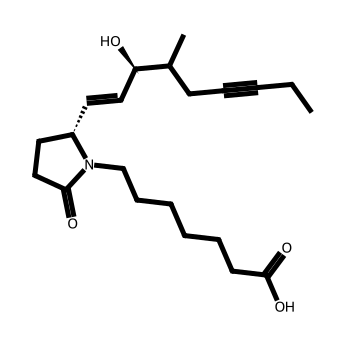 CCC#CCC(C)[C@H](O)/C=C/[C@H]1CCC(=O)N1CCCCCCC(=O)O